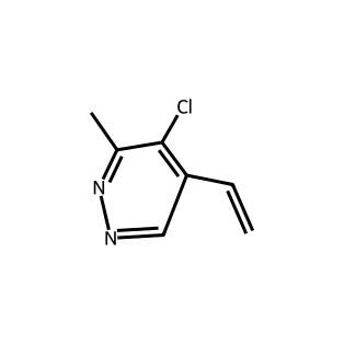 C=Cc1cnnc(C)c1Cl